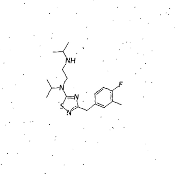 Cc1cc(Cc2nsc(N(CCNC(C)C)C(C)C)n2)ccc1F